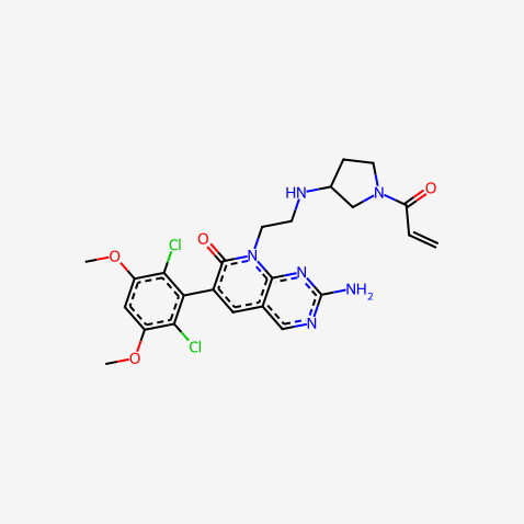 C=CC(=O)N1CCC(NCCn2c(=O)c(-c3c(Cl)c(OC)cc(OC)c3Cl)cc3cnc(N)nc32)C1